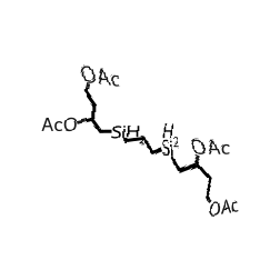 CC(=O)OCCC(C[SiH2]CCC[SiH2]CC(CCOC(C)=O)OC(C)=O)OC(C)=O